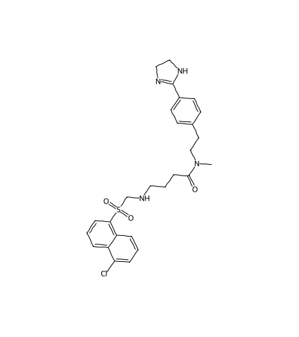 CN(CCc1ccc(C2=NCCN2)cc1)C(=O)CCCNCS(=O)(=O)c1cccc2c(Cl)cccc12